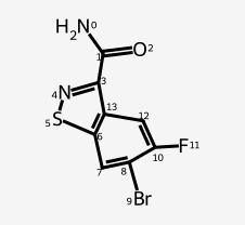 NC(=O)c1nsc2cc(Br)c(F)cc12